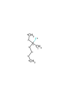 CCCCC(C)(F)CC